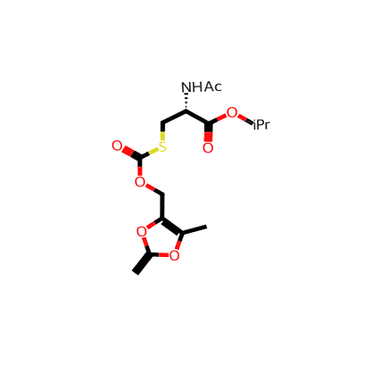 C=C1OC(C)=C(COC(=O)SC[C@H](NC(C)=O)C(=O)OC(C)C)O1